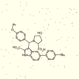 CC(C)Oc1ccc(C(c2c(C(=O)O)[nH]c3ccc(-c4ccc(C(C)(C)C)cc4)cc23)N2CCCC2C(=O)O)cc1.Cl